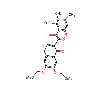 COCOc1cc2c(cc1OCOC)C(=O)C(c1coc3cc(C)c(C)c(C(=O)O)c3c1=O)=CC2